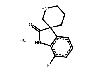 Cl.O=C1Nc2c(F)cccc2[C@]12CCCNC2